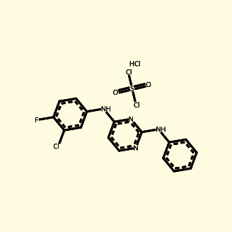 Cl.Fc1ccc(Nc2ccnc(Nc3ccccc3)n2)cc1Cl.O=S(=O)(Cl)Cl